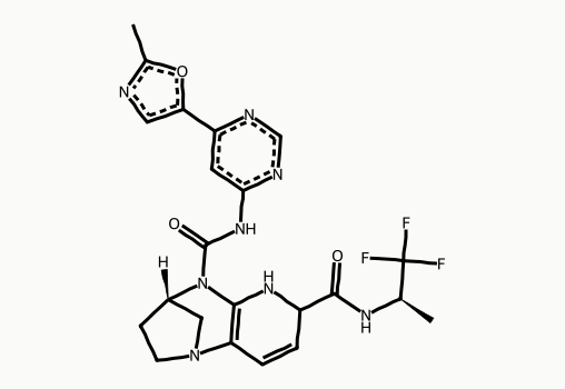 Cc1ncc(-c2cc(NC(=O)N3C4=C(C=CC(C(=O)N[C@H](C)C(F)(F)F)N4)N4CC[C@H]3C4)ncn2)o1